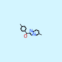 Cc1ccc(C(=O)c2cn3cc(C)ccc3n2)cc1